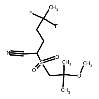 COC(C)(C)CS(=O)(=O)C(C#N)CCC(C)(F)F